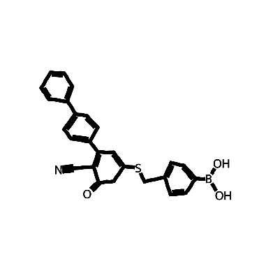 N#CC1=C(c2ccc(-c3ccccc3)cc2)C=C(SCc2ccc(B(O)O)cc2)CC1=O